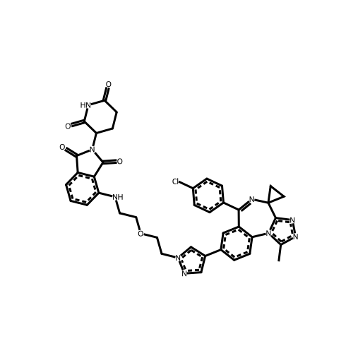 Cc1nnc2n1-c1ccc(-c3cnn(CCOCCNc4cccc5c4C(=O)N(C4CCC(=O)NC4=O)C5=O)c3)cc1C(c1ccc(Cl)cc1)=NC21CC1